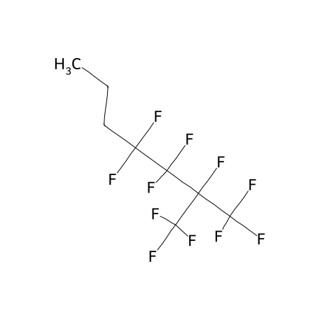 CCCC(F)(F)C(F)(F)C(F)(C(F)(F)F)C(F)(F)F